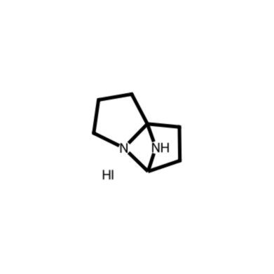 C1CN2C3CCC2(C1)N3.I